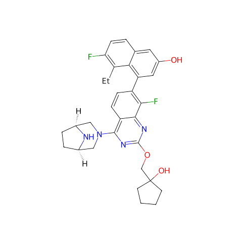 CCc1c(F)ccc2cc(O)cc(-c3ccc4c(N5C[C@H]6CC[C@@H](C5)N6)nc(OCC5(O)CCCC5)nc4c3F)c12